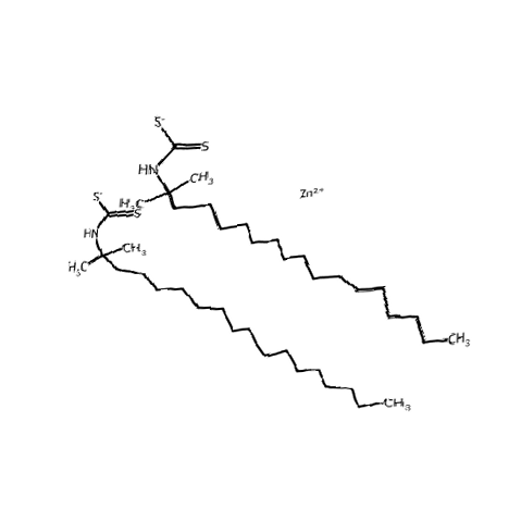 CCCCCCCCCCCCCCCCC(C)(C)NC(=S)[S-].CCCCCCCCCCCCCCCCC(C)(C)NC(=S)[S-].[Zn+2]